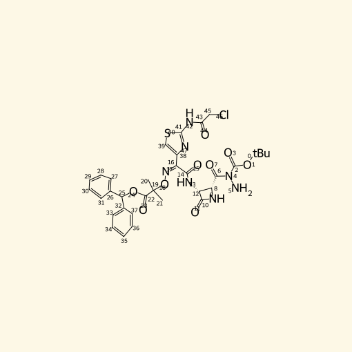 CC(C)(C)OC(=O)N(N)C(=O)[C@@H]1NC(=O)[C@@H]1NC(=O)/C(=N\OC(C)(C)C(=O)OC(c1ccccc1)c1ccccc1)c1csc(NC(=O)CCl)n1